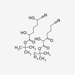 CC(C)(C)OC(=O)C(O)C(=O)CCCC#N.CC(C)(C)OC(=O)C(O)CCCC(O)C#N